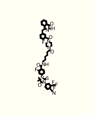 CC1(C)C(=O)N(c2ccc(C#N)c(C(F)(F)F)c2)C(=S)N1c1ccc(C(=O)NCCCCCC(=O)N2CCN(C(=O)c3cc(Cc4n[nH]c(=O)c5ccccc45)ccc3F)CC2)c(F)c1